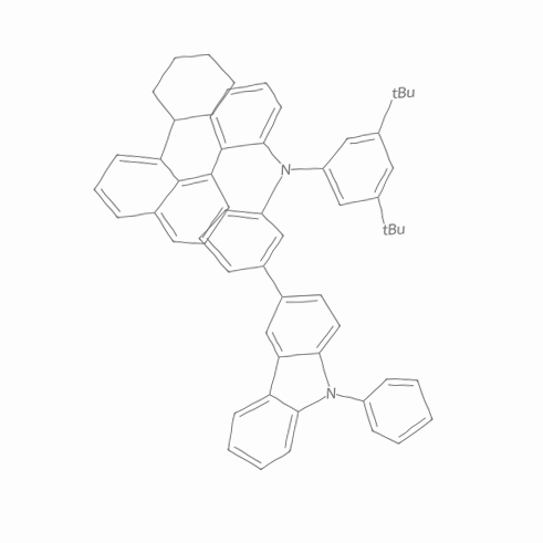 CC(C)(C)c1cc(N(c2cccc(-c3ccc4c(c3)c3ccccc3n4-c3ccccc3)c2)c2ccccc2-c2cccc3cccc(C4CCCCC4)c23)cc(C(C)(C)C)c1